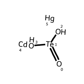 O=[Te](O)O.[Cd].[Hg]